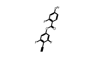 C#Cc1c(F)cc(OC(=O)c2ccc(CCC)cc2F)cc1F